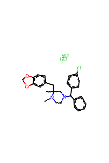 CN1CCN(C(c2ccccc2)c2ccc(Cl)cc2)CC1(C)Cc1ccc2c(c1)OCO2.Cl.Cl